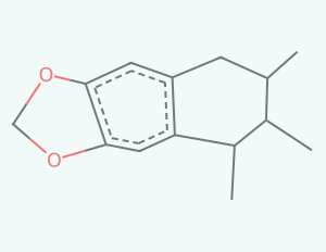 CC1Cc2cc3c(cc2C(C)C1C)OCO3